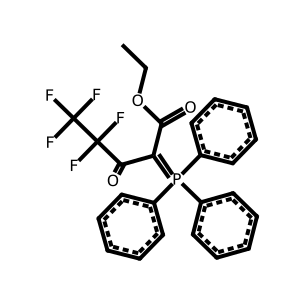 CCOC(=O)C(C(=O)C(F)(F)C(F)(F)F)=P(c1ccccc1)(c1ccccc1)c1ccccc1